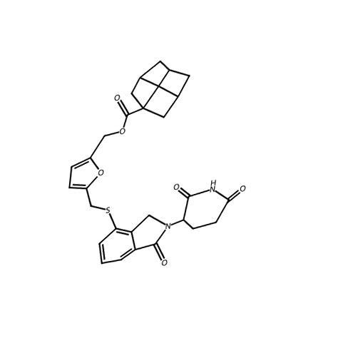 O=C1CCC(N2Cc3c(SCc4ccc(COC(=O)C56CC7CC8CC(C5)C876)o4)cccc3C2=O)C(=O)N1